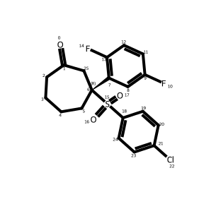 O=C1CCCC[C@@](c2cc(F)ccc2F)(S(=O)(=O)c2ccc(Cl)cc2)C1